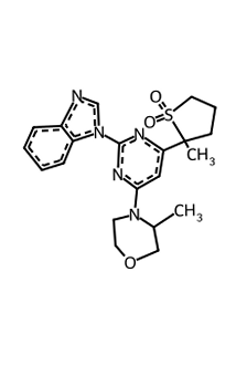 CC1COCCN1c1cc(C2(C)CCCS2(=O)=O)nc(-n2cnc3ccccc32)n1